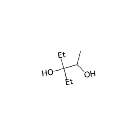 CCC(O)(CC)C(C)O